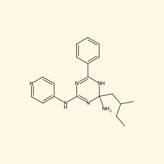 CCC(C)CC1(N)N=C(Nc2ccncc2)N=C(c2ccccc2)N1